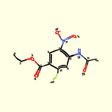 CCOC(=O)c1cc([N+](=O)[O-])c(NC(C)=O)cc1F